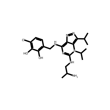 CC(N)CNc1nc(NCc2ccc(Cl)c(O)c2O)c2nnc(C(C)C)c-2n1C(C)C